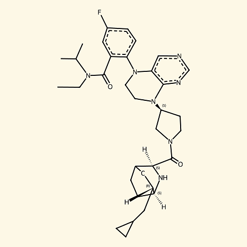 CCN(C(=O)c1cc(F)ccc1N1CCN([C@H]2CCN(C(=O)[C@H]3N[C@H]4CCC3C[C@H]4CC3CC3)C2)c2ncncc21)C(C)C